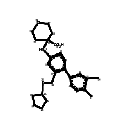 Cc1ccc(-c2ccc(NC3(C(=O)O)CCOCC3)cc2COC2CCCC2)cc1C